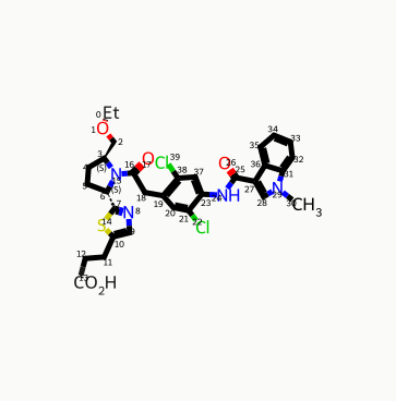 CCOC[C@@H]1CC[C@@H](c2ncc(CCC(=O)O)s2)N1C(=O)Cc1cc(Cl)c(NC(=O)c2cn(C)c3ccccc23)cc1Cl